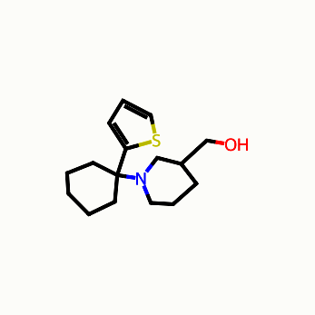 OCC1CCCN(C2(c3cccs3)CCCCC2)C1